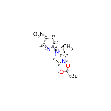 C[C@@H]1CN(OC(=O)C(C)(C)C)CCN1c1ccc([N+](=O)[O-])cn1